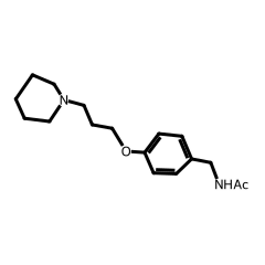 CC(=O)NCc1ccc(OCCCN2CCCCC2)cc1